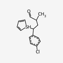 CC(C=O)CC(c1ccc(Cl)cc1)[SH]1C=CC=C1